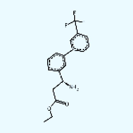 CCOC(=O)C[C@H](N)c1cccc(-c2cccc(C(F)(F)F)c2)c1